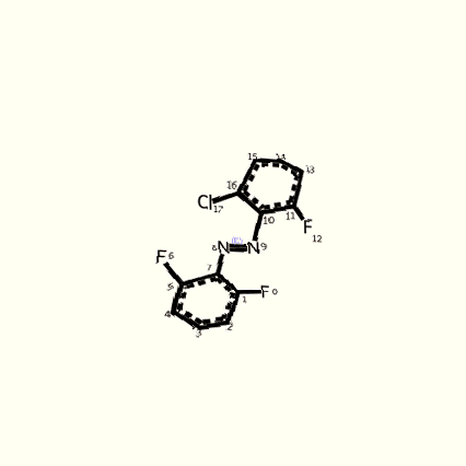 Fc1c[c]cc(F)c1/N=N/c1c(F)cccc1Cl